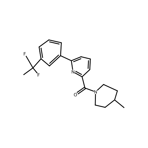 CC1CCN(C(=O)c2cccc(-c3cccc(C(C)(F)F)c3)n2)CC1